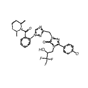 CC1CCCC(C)N1C(=O)c1ccccc1-n1cnc(Cn2nc(-c3ccc(Cl)cc3)n(CC(O)C(F)(F)F)c2=O)n1